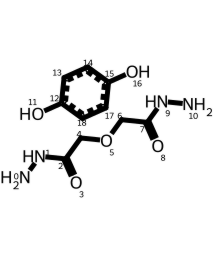 NNC(=O)COCC(=O)NN.Oc1ccc(O)cc1